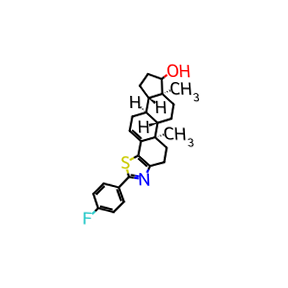 C[C@]12CCc3nc(-c4ccc(F)cc4)sc3C1=CC[C@@H]1[C@@H]2CC[C@]2(C)C(O)CC[C@@H]12